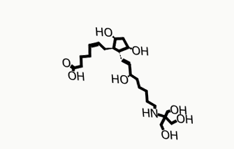 O=C(O)CCC/C=C\C[C@@H]1[C@@H](/C=C/[C@@H](O)CCCCCNC(CO)(CO)CO)[C@H](O)C[C@@H]1O